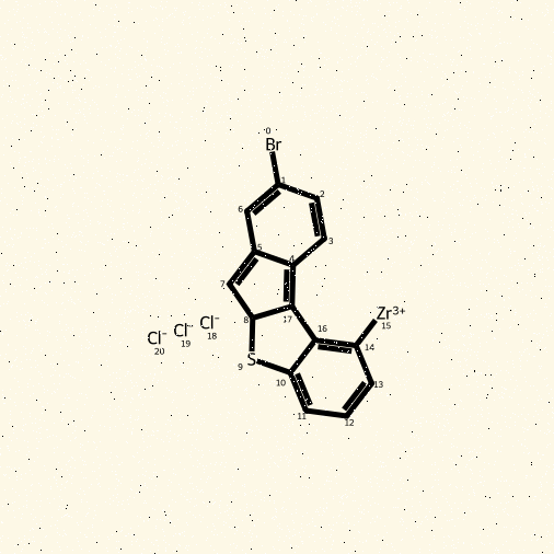 Brc1ccc2c(c1)=CC1Sc3ccc[c]([Zr+3])c3C=21.[Cl-].[Cl-].[Cl-]